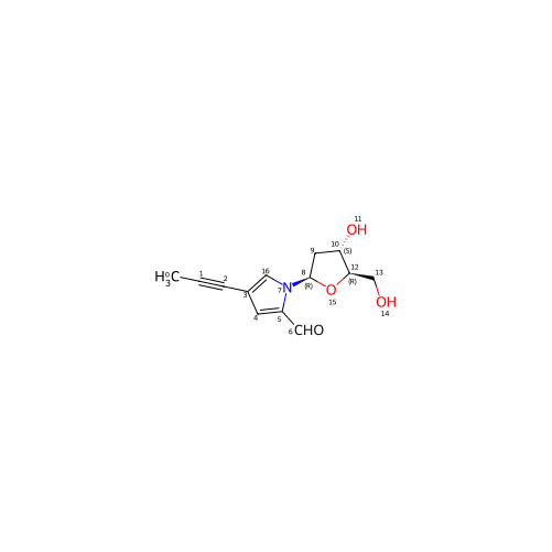 CC#Cc1cc(C=O)n([C@H]2C[C@H](O)[C@@H](CO)O2)c1